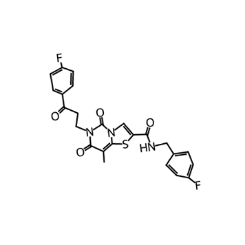 Cc1c(=O)n(CCC(=O)c2ccc(F)cc2)c(=O)n2cc(C(=O)NCc3ccc(F)cc3)sc12